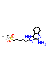 CS(=O)(=O)CCCCCc1nc2c(N)nc3ccccc3c2[nH]1